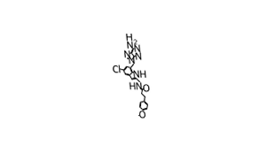 COc1ccc(CCC(=O)NCc2cc3cc(Cl)cc(Cn4cnc5c(N)ncnc54)c3[nH]2)cc1